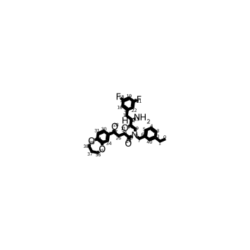 CCc1cccc(CN(C[C@@H](O)[C@@H](N)Cc2cc(F)cc(F)c2)C(=O)CCC(=O)c2ccc3c(c2)OCCCO3)c1